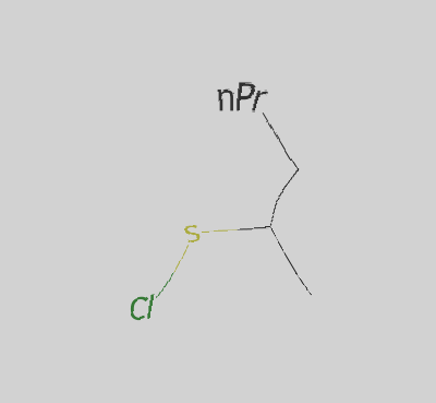 CCCCC(C)SCl